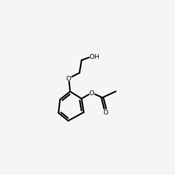 CC(=O)Oc1ccccc1OCCO